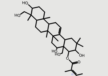 C/C=C(/C)C(=O)OC1C(O)C(C)(C)CC2C3=CCC4C5(C)CCC(O)C(C)(CO)C5CCC4(C)C3(C)CC(O)C21CO